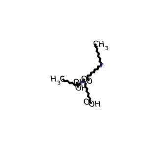 CCCCCCCC/C=C\CCCCCCCC(=O)O/C(=C/CC(O)(O)CCCCCC)CCCCCCCC(=O)O